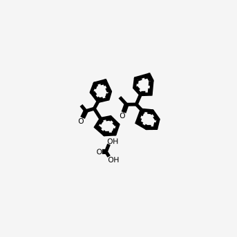 CC(=O)C(c1ccccc1)c1ccccc1.CC(=O)C(c1ccccc1)c1ccccc1.O=C(O)O